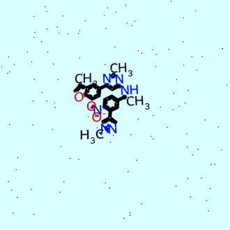 Cc1nc(NC(C)c2ccc([N+](=O)[O-])c(-c3cnn(C)c3)c2)cc(-c2ccc3occ(C)c3c2)n1